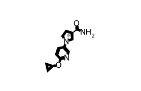 NC(=O)[C@@H]1CCN(c2ccc(OC3CC3)nc2)C1